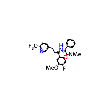 CNC(=O)[C@H](N[C@H](CCc1ccc(C(F)(F)F)nc1)c1ccc(F)c(OC)c1)c1ccccc1